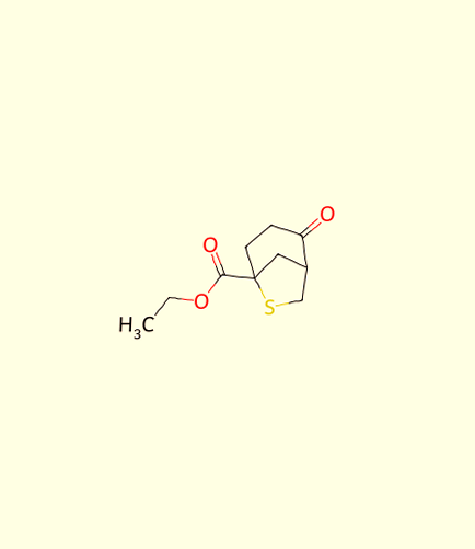 CCOC(=O)C12CCC(=O)C(CS1)C2